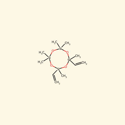 C=C[Si]1(C)O[Si](C)(C)O[Si](C)(C)O[Si](C)(C=C)O1